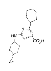 CC(=O)N1CCC(Nc2cc(C(=O)O)cc(C3CCCCC3)n2)CC1